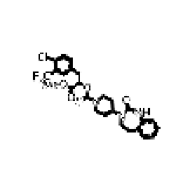 COC(=O)[C@@H](Cc1ccc(Cl)c(C(F)(F)F)c1)OC(=O)N1CCC(N2CCc3ccccc3NC2=O)CC1